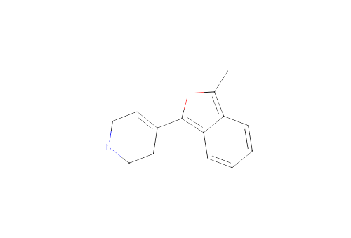 Cc1oc(C2=CCNCC2)c2ccccc12